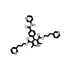 CC1=C(C(=O)OCCCc2cccnc2)C(c2ccc(C(=O)Nc3cccnc3)cc2)C(C(=O)OCCCc2cccnc2)=C(C)N1